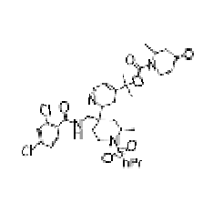 CCCS(=O)(=O)N1CC[C@](CNC(=O)c2ccc(Cl)cc2Cl)(C2CC(C(C)(C)OC(=O)N3CCC(=O)CC3C)=CC=N2)C[C@H]1C